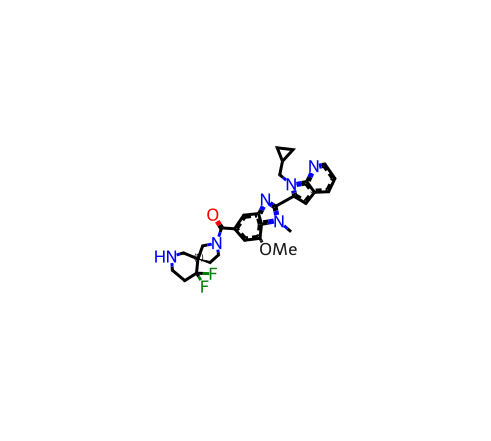 COc1cc(C(=O)N2CC[C@@]3(CNCCC3(F)F)C2)cc2nc(-c3cc4cccnc4n3CC3CC3)n(C)c12